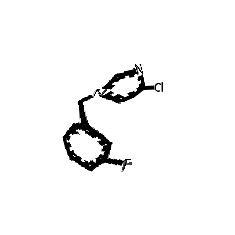 Fc1cccc(Cn2cnc(Cl)c2)c1